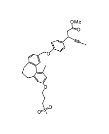 CC#CC(CC(=O)OC)c1ccc(OCc2ccc3c(c2)-c2c(C)cc(OCCCS(C)(=O)=O)cc2CCC3)cc1